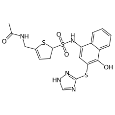 CC(=O)NCC1=CCC(S(=O)(=O)Nc2cc(Sc3nc[nH]n3)c(O)c3ccccc23)S1